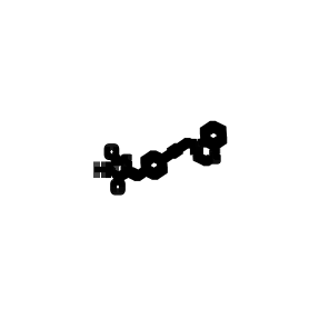 O=C1NC(=O)C(=Cc2ccc(C#CCN3CCSc4ccccc43)cc2)S1